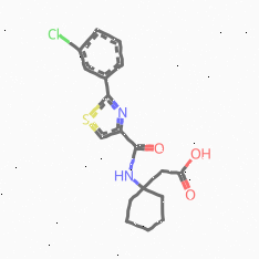 O=C(O)CC1(NC(=O)c2csc(-c3cccc(Cl)c3)n2)CCCCC1